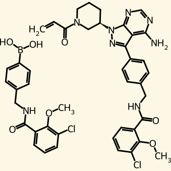 C=CC(=O)N1CCC[C@@H](n2nc(-c3ccc(CNC(=O)c4cccc(Cl)c4OC)cc3)c3c(N)ncnc32)C1.COc1c(Cl)cccc1C(=O)NCc1ccc(B(O)O)cc1